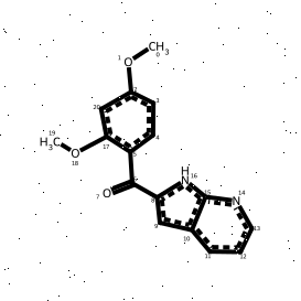 COc1ccc(C(=O)c2cc3cccnc3[nH]2)c(OC)c1